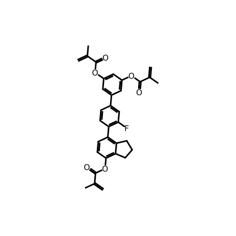 C=C(C)C(=O)Oc1cc(OC(=O)C(=C)C)cc(-c2ccc(-c3ccc(OC(=O)C(=C)C)c4c3CCC4)c(F)c2)c1